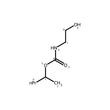 CCCC(C)OC(=O)NCCO